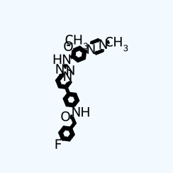 COc1cc(N2CCN(C)CC2)ccc1Nc1nc2ccc(-c3ccc(NC(=O)Cc4ccc(F)cc4)cc3)cn2n1